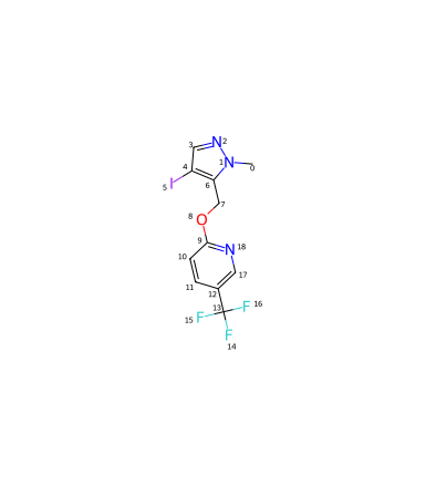 Cn1ncc(I)c1COc1ccc(C(F)(F)F)cn1